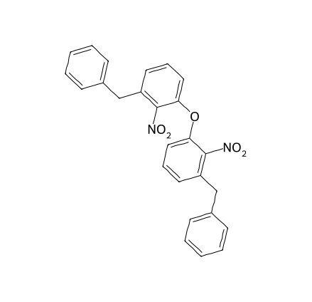 O=[N+]([O-])c1c(Cc2ccccc2)cccc1Oc1cccc(Cc2ccccc2)c1[N+](=O)[O-]